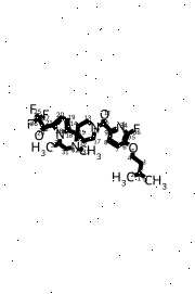 CC(C)CCOc1ccc(C(=O)N2CCC3(CC2)c2ccc(C(=O)C(F)(F)F)n2C(C)CN3C)nc1F